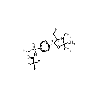 CN1[C@H](CF)[C@@H](c2ccc(S(C)(=O)=NC(=O)C(F)(F)F)cc2)OC1(C)C